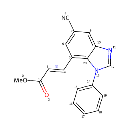 COC(=O)/C=C/c1cc(C#N)cc2ncn(-c3ccccc3)c12